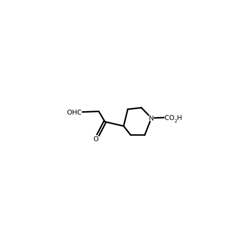 O=CCC(=O)C1CCN(C(=O)O)CC1